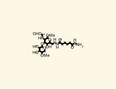 COC1COC(OC2C(O)C(CNNC(=O)CCCCC(=O)NN)OC(OC)C2NCC=O)C(O)C1O